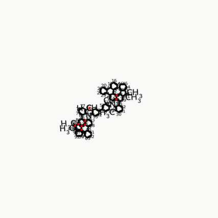 Cc1cc(-c2ccc(N(c3ccc4c5ccccc5c5ccccc5c4c3)c3c(C)cccc3-c3ccc4c(c3)C(C)(C)c3ccccc3-4)c(C)c2)ccc1N(c1ccc2c3ccccc3c3ccccc3c2c1)c1c(C)cccc1-c1ccc2c(c1)C(C)(C)c1ccccc1-2